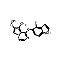 CCCOc1cn2ncnc(Oc3ccc4[nH]ccc4c3F)c2c1C